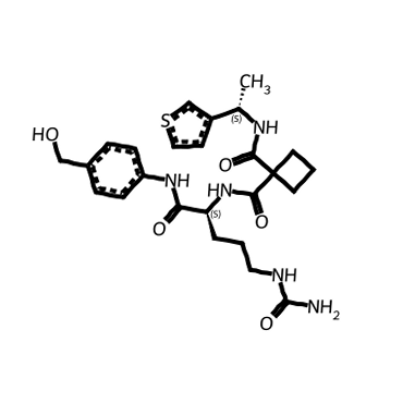 C[C@H](NC(=O)C1(C(=O)N[C@@H](CCCNC(N)=O)C(=O)Nc2ccc(CO)cc2)CCC1)c1ccsc1